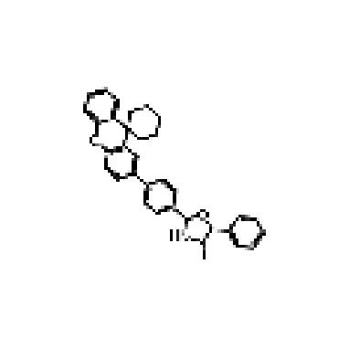 c1ccc(C2NNC(c3ccc(-c4ccc5c(c4)C4(CCCCC4)c4ccccc4O5)cc3)O2)cc1